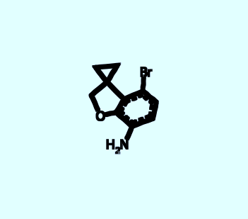 Nc1ccc(Br)c2c1OCC21CC1